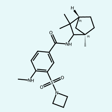 CNc1ccc(C(=O)NC2C(C)(C)[C@@H]3CC[C@]2(C)C3)cc1S(=O)(=O)N1CCC1